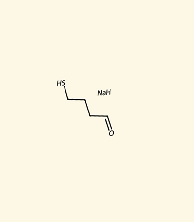 O=CCCCS.[NaH]